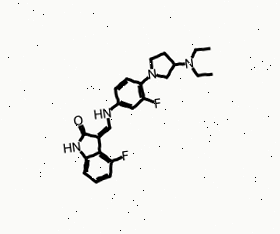 CCN(CC)C1CCN(c2ccc(NC=C3C(=O)Nc4cccc(F)c43)cc2F)C1